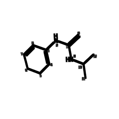 C=C(NC1=CCCC=C1)NC(C)C